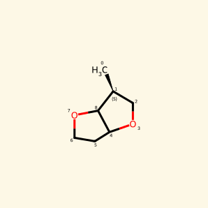 C[C@H]1COC2CCOC21